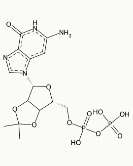 CC1(C)OC2C(O1)[C@@H](COP(=O)(O)OP(=O)(O)O)O[C@H]2n1cnc2c(=O)[nH]c(N)cc21